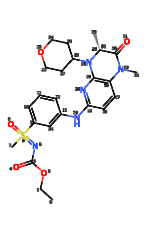 CCOC(=O)N=S(C)(=O)c1cccc(Nc2ccc3c(n2)N(C2CCOCC2)[C@H](C)C(=O)N3C)c1